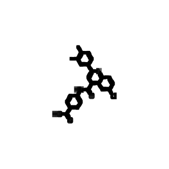 Cc1ccc(-c2cc(C(=O)Nc3ccc(C(=O)O)cc3)c3cc(Cl)ccc3n2)cc1C